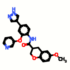 COc1ccc2c(c1)CC(C(=O)Nc1ccc(-c3cn[nH]c3)cc1Oc1cccnc1)CO2